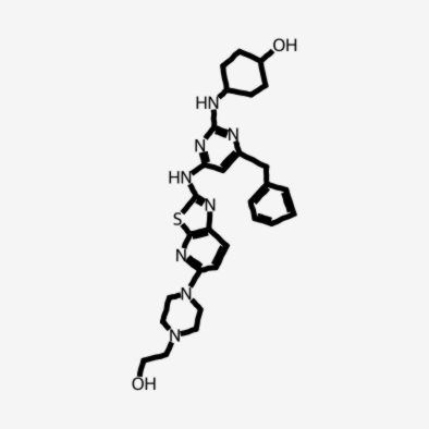 OCCN1CCN(c2ccc3nc(Nc4cc(Cc5ccccc5)nc(NC5CCC(O)CC5)n4)sc3n2)CC1